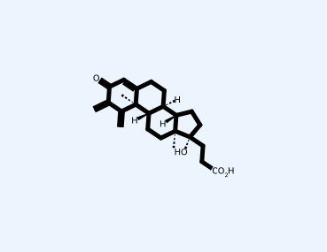 C=C1C(=C)[C@@]2(C)C(=CC1=O)CC[C@@H]1[C@@H]2CC[C@@]2(C)[C@H]1CC[C@@]2(O)CCC(=O)O